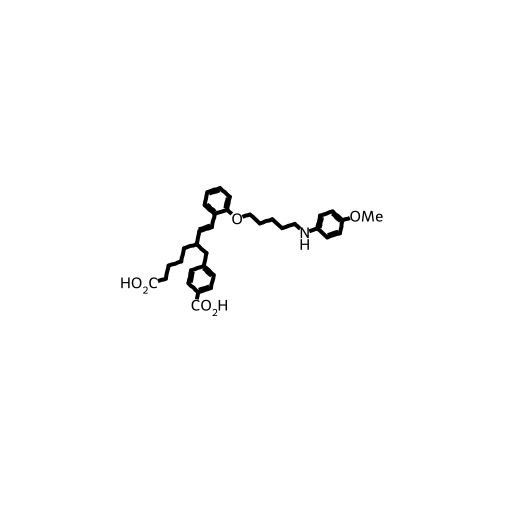 COc1ccc(NCCCCCOc2ccccc2/C=C/C(CCCCC(=O)O)Cc2ccc(C(=O)O)cc2)cc1